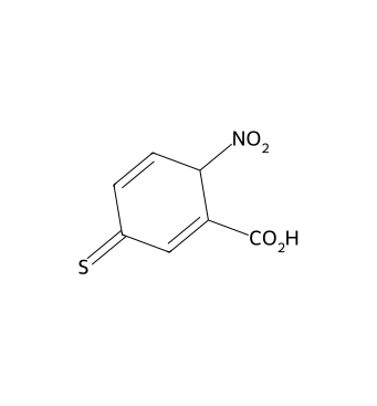 O=C(O)C1=CC(=S)C=CC1[N+](=O)[O-]